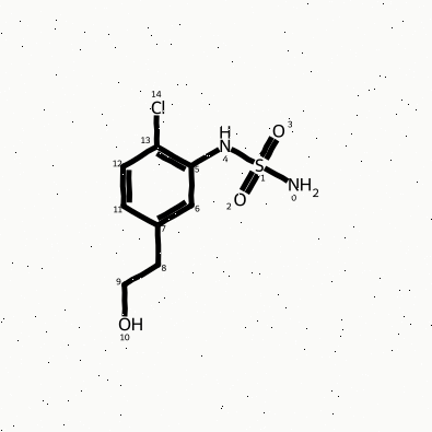 NS(=O)(=O)Nc1cc(CCO)ccc1Cl